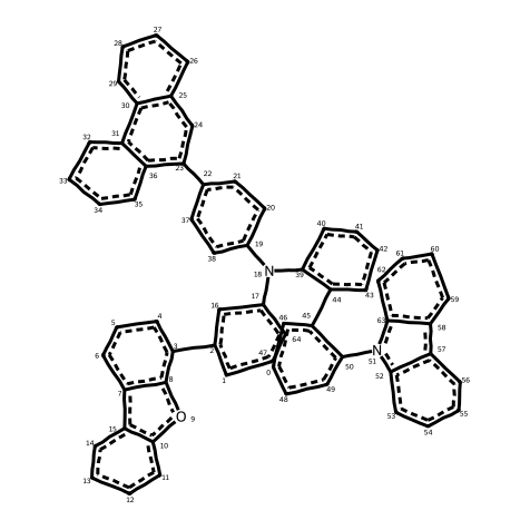 c1cc(-c2cccc3c2oc2ccccc23)cc(N(c2ccc(-c3cc4ccccc4c4ccccc34)cc2)c2ccccc2-c2ccccc2-n2c3ccccc3c3ccccc32)c1